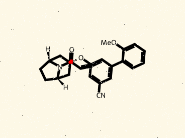 C=CC(=O)N1[C@@H]2CC[C@H]1C[C@@H](Oc1cc(C#N)cc(-c3ccccc3OC)c1)C2